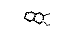 CCc1cc2ccccc2c[n+]1O